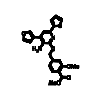 COC(=O)c1ccc(COc2nc(-c3cccs3)cc(-c3ccoc3)c2N)cc1OC